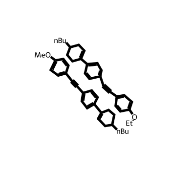 CCCCC1CC=C(c2ccc(C#Cc3ccc(OC)cc3)cc2)CC1.CCCCC1CC=C(c2ccc(C#Cc3ccc(OCC)cc3)cc2)CC1